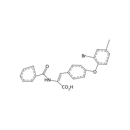 Cc1ccc(Oc2ccc(/C=C(/NC(=O)c3ccccc3)C(=O)O)cc2)c(Br)c1